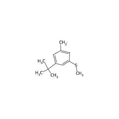 [CH2]c1cc(SC)cc(C(C)(C)C)c1